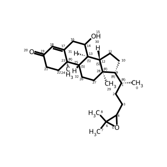 C[C@H](CCC1OC1(C)C)[C@H]1CC[C@H]2[C@@H]3C(O)CC4=CC(=O)CC[C@]4(C)[C@H]3CC[C@]12C